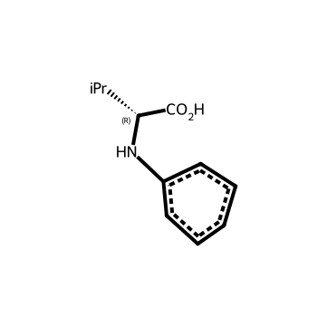 CC(C)[C@@H](Nc1ccccc1)C(=O)O